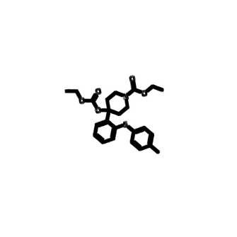 CCOC(=O)OC1(c2ccccc2Sc2ccc(C)cc2)CCN(C(=O)OCC)CC1